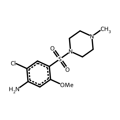 COc1cc(N)c(Cl)cc1S(=O)(=O)N1CCN(C)CC1